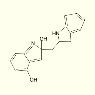 Oc1cccc2c1=CC(O)(Cc1cc3ccccc3[nH]1)N=2